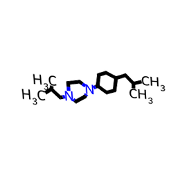 CC(C)CC1CCC(N2CCN(CC(C)C)CC2)CC1